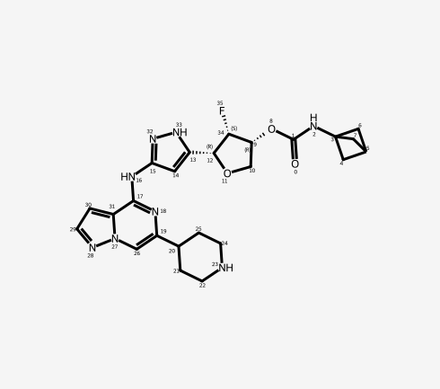 O=C(NC12CC(C1)C2)O[C@@H]1CO[C@H](c2cc(Nc3nc(C4CCNCC4)cn4nccc34)n[nH]2)[C@@H]1F